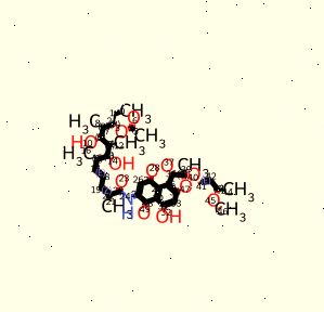 CC[C@@H](OC(C)=O)[C@H](C)[C@H](O)[C@H](C)[C@@H](O)[C@@H](C)/C=C/C=C(/C)C(=O)NC1=CC(=O)c2c(c(O)cc3c2C(=O)[C@@](C)(O/C=C/[C@@H](C)OC)O3)C1=O